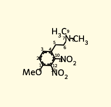 COc1ccc(CCN(C)C)c([N+](=O)[O-])c1[N+](=O)[O-]